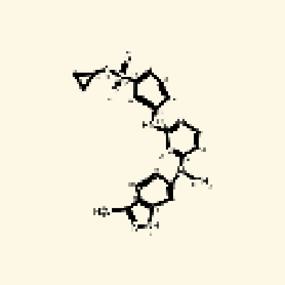 Cc1n[nH]c2cc(N(C)c3ccnc(Nc4cccc(S(=O)(=O)NC5CC5)c4)n3)ccc12